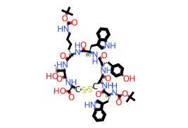 C[C@@H](O)[C@@H]1NC(=O)[C@H](CCCCNC(=O)OC(C)(C)C)NC(=O)[C@@H](Cc2c[nH]c3ccccc23)NC(=O)[C@H](Cc2ccc(O)cc2)NC(=O)[C@@H](NC(=O)[C@@H](Cc2c[nH]c3ccccc23)NC(=O)OC(C)(C)C)CSSC[C@@H](C(=O)O)NC1=O